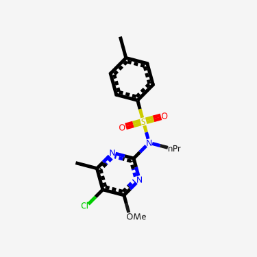 CCCN(c1nc(C)c(Cl)c(OC)n1)S(=O)(=O)c1ccc(C)cc1